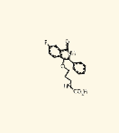 O=C(O)NCCCOc1c(-c2ccccc2)[nH]c(=O)c2cc(F)ccc12